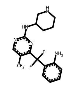 Nc1ccccc1C(F)(F)c1nc(NC2CCCNC2)ncc1C(F)(F)F